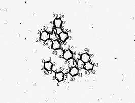 c1ccc(-c2cccc(-c3cccc(N(c4ccc(-c5ccc(-c6ccccc6-n6c7ccccc7c7ccccc76)cc5)cc4)c4cccc5ccccc45)c3)c2)cc1